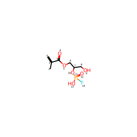 C=C(C)C(=O)OCC(CO)OP(=O)(O)F